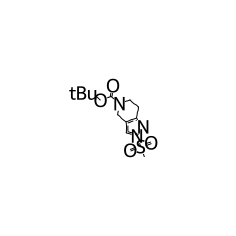 CC(C)(C)OC(=O)N1CCc2nn(S(C)(=O)=O)cc2C1